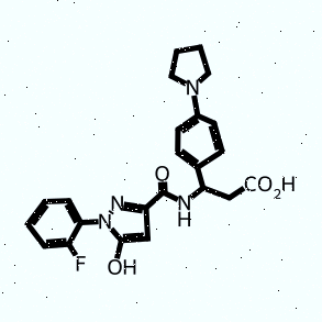 O=C(O)CC(NC(=O)c1cc(O)n(-c2ccccc2F)n1)c1ccc(N2CCCC2)cc1